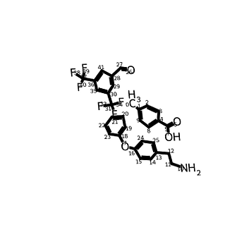 Cc1ccc(C(=O)O)cc1.NCCc1ccc(Oc2ccccc2)cc1.O=Cc1cc(C(F)(F)F)cc(C(F)(F)F)c1